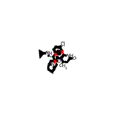 C[C@@H]1CC(=O)Nc2ncnc(N3CC4CCC(C3)N4C(=O)[C@H](CNC3CC3)c3ccc(Cl)cc3)c21